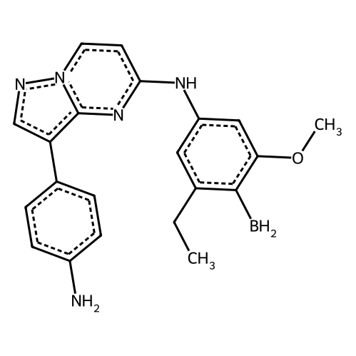 Bc1c(CC)cc(Nc2ccn3ncc(-c4ccc(N)cc4)c3n2)cc1OC